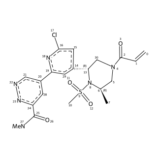 C=CC(=O)N1C[C@@H](C)N(S(C)(=O)=O)[C@H](c2cc(Cl)nc(-c3cnnc(C(=O)NC)c3)c2)C1